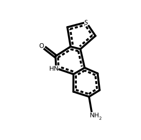 Nc1ccc2c(c1)[nH]c(=O)c1cscc12